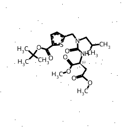 COC(=O)C[C@H](NC(=O)N(Cc1ccc(C(=O)OC(C)(C)C)s1)CC(C)C)C(=O)OC